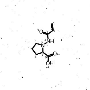 C=CC(=O)NN1CCCC1C(=O)O